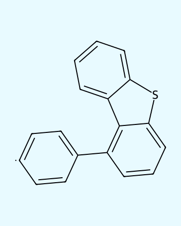 [c]1ccc(-c2cccc3sc4ccccc4c23)cc1